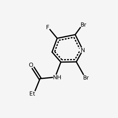 CCC(=O)Nc1cc(F)c(Br)nc1Br